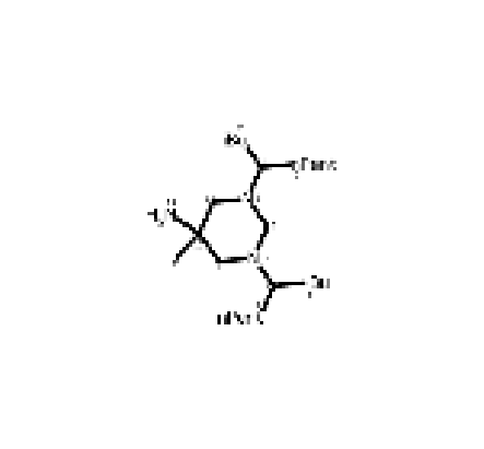 CCCCCC(C(C)CC)N1CN(C(CCCCC)C(C)CC)CC(C)(N)C1